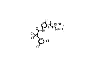 N/N=C(\NN)NC(=O)c1cc(NC(=O)C2C(c3cc(Cl)cc(Cl)c3)C2(Cl)Cl)ccc1Cl